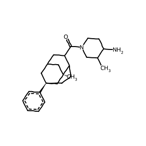 CC1CN(C(=O)C2CC3C[C@]4(c5ccccc5)CCC2[C@](C)(C3)C4)CCC1N